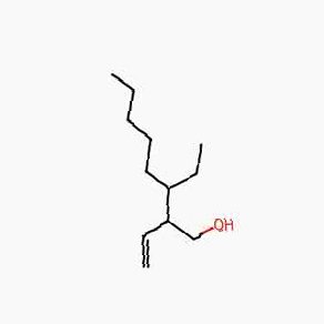 C=CC(CO)C(CC)CCCCC